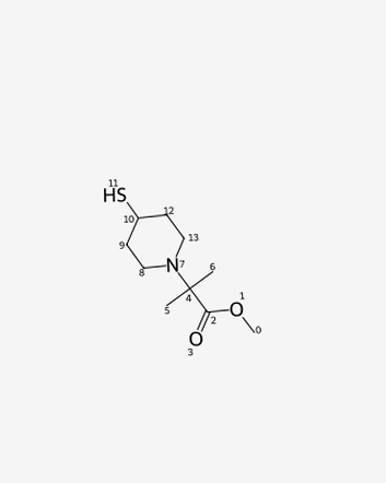 COC(=O)C(C)(C)N1CCC(S)CC1